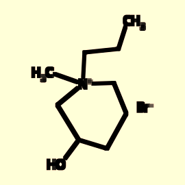 CCC[N+]1(C)CCCC(O)C1.[Br-]